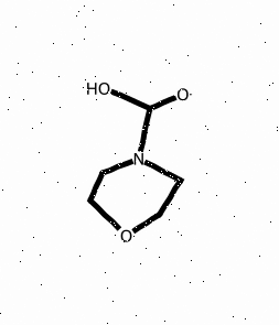 [O]C(O)N1CCOCC1